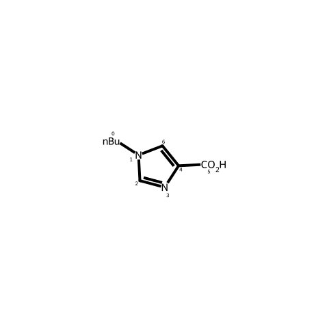 CCCCn1cnc(C(=O)O)c1